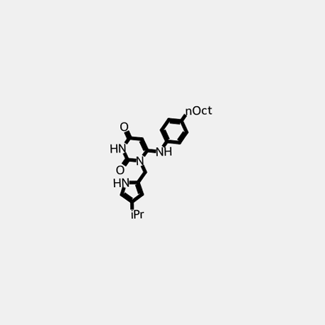 CCCCCCCCc1ccc(Nc2cc(=O)[nH]c(=O)n2Cc2cc(C(C)C)c[nH]2)cc1